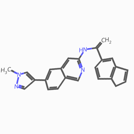 C=C(Nc1cc2cc(-c3cnn(C)c3)ccc2cn1)c1ccc2c(c1)C=CC2